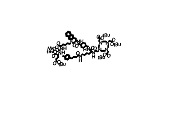 COC(=O)C(CCCCNC(=O)C(Cc1ccc2ccccc2c1)NC(=O)C1CCC(CNC(=O)C(CCCCNC(=O)CCCc2ccc(C)cc2)NC(=O)CN2CCN(CC(=O)OC(C)(C)C)CCN(CC(=O)OC(C)(C)C)CCN(CC(=O)OC(C)(C)C)CC2)CC1)NC(=O)NC(CCC(=O)OC(C)(C)C)C(=O)OC(C)(C)C